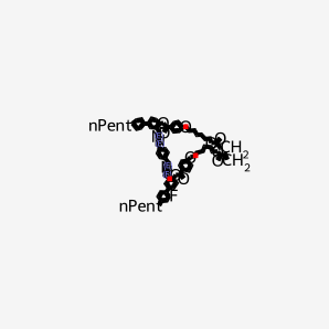 C=CC(=O)OCCCCCCOc1ccc(C(=O)Oc2ccc(-c3ccc(CCCCC)cc3)cc2/C=N/N=C/c2ccc(/C=N/N=C/c3cc(-c4ccc(CCCCC)cc4F)ccc3OC(=O)c3ccc(OCCCCCCOC(=O)C=C)cc3)cc2)cc1